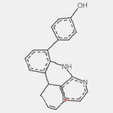 Oc1ccc(-c2cccc(C3CC=CCC3)c2Nc2cnccn2)cc1